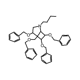 CCCCN1CC(OCc2ccccc2)C2(COCc3ccccc3)C(OCc3ccccc3)C(OCc3ccccc3)C12